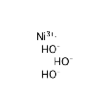 [Ni+3].[OH-].[OH-].[OH-]